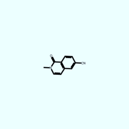 Cn1ccc2cc(C#N)ccc2c1=O